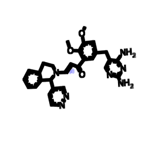 COc1cc(Cc2cnc(N)nc2N)cc(C(=O)/C=C/N2CCc3ccccc3C2c2ccnnc2)c1OC